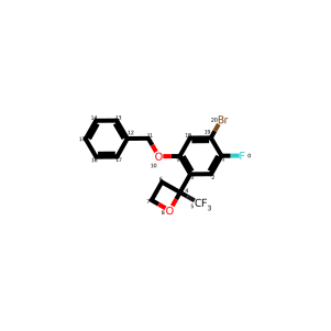 Fc1cc(C2(C(F)(F)F)CCO2)c(OCc2ccccc2)cc1Br